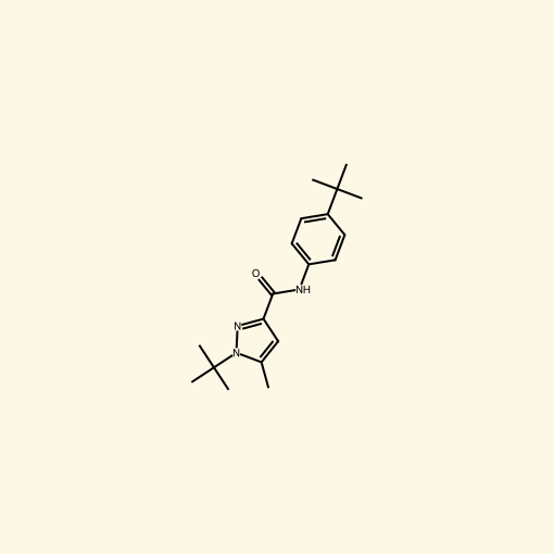 Cc1cc(C(=O)Nc2ccc(C(C)(C)C)cc2)nn1C(C)(C)C